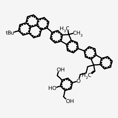 C=CC1(CCCOc2cc(CO)c(O)c(CO)c2)c2ccccc2-c2ccc(-c3ccc4c(c3)C(C)(C)c3cc(-c5ccc6ccc7cc(C(C)(C)C)cc8ccc5c6c78)ccc3-4)cc21